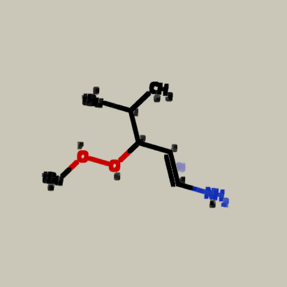 CC(C(/C=C/N)OOC(C)(C)C)C(C)(C)C